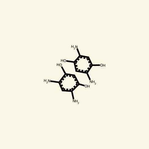 Nc1cc(N)c(O)cc1O.Nc1cc(O)c(N)cc1O